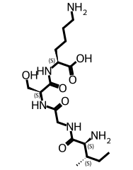 CC[C@H](C)[C@H](N)C(=O)NCC(=O)N[C@@H](CO)C(=O)N[C@@H](CCCCN)C(=O)O